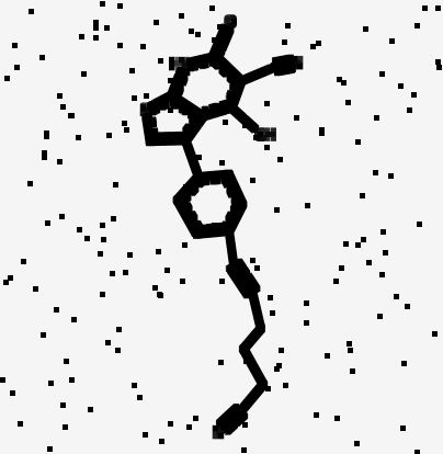 N#CCCCC#Cc1ccc(-c2csc3[nH]c(=O)c(C#N)c(O)c23)cc1